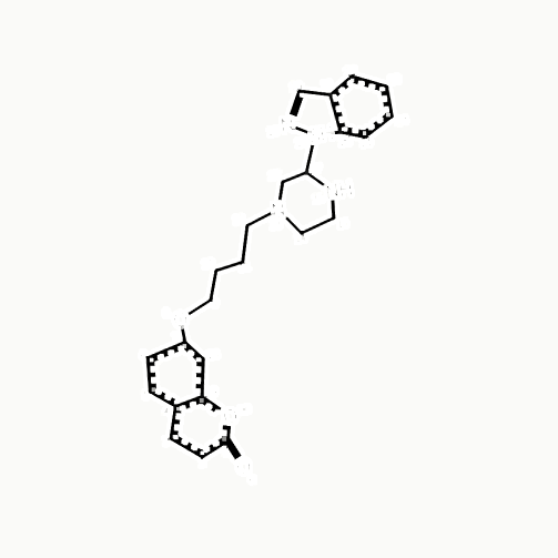 O=c1ccc2ccc(OCCCCN3CCNC([SH]4N=Cc5ccccc54)C3)cc2o1